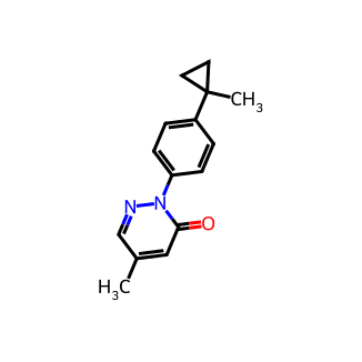 Cc1cnn(-c2ccc(C3(C)CC3)cc2)c(=O)c1